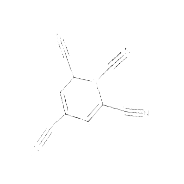 N#CB1C(C#N)=CC(C#N)=CC1C#N